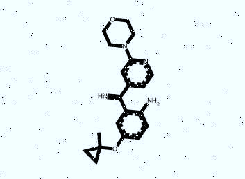 CC1(Oc2ccc(N)c(C(=N)c3ccnc(N4CCOCC4)c3)c2)CC1